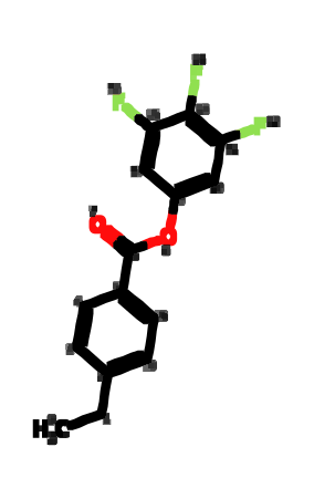 CCc1ccc(C(=O)Oc2cc(F)c(F)c(F)c2)cc1